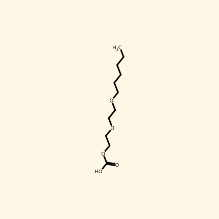 CCCCCCOCCOCCOC(=O)O